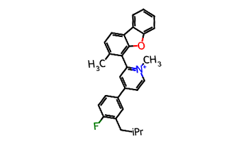 Cc1ccc2c(oc3ccccc32)c1-c1cc(-c2ccc(F)c(CC(C)C)c2)cc[n+]1C